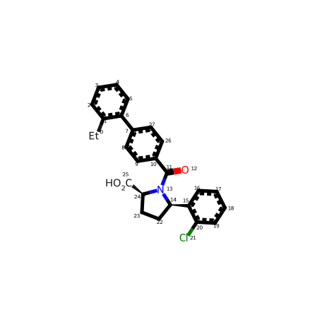 CCc1ccccc1-c1ccc(C(=O)N2[C@@H](c3ccccc3Cl)CC[C@H]2C(=O)O)cc1